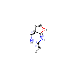 C/C=C/N=C1/OC=C/C1=C/N